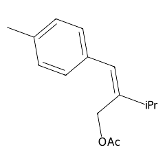 CC(=O)OCC(=Cc1ccc(C)cc1)C(C)C